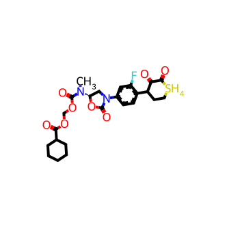 CN(C(=O)OCOC(=O)C1CCCCC1)[C@@H]1CN(c2ccc(C3CC[SH4]C(=O)C3=O)c(F)c2)C(=O)O1